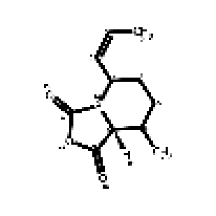 C/C=C\C1CCC(C)[C@@H]2C(=O)OC(=O)P12